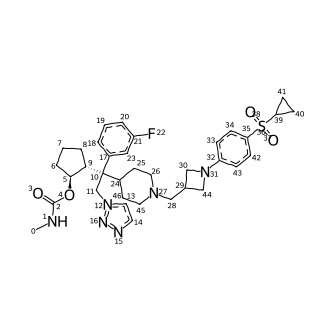 CNC(=O)O[C@H]1CCC[C@@H]1C(Cn1ccnn1)(c1cccc(F)c1)C1CCN(CC2CN(c3ccc(S(=O)(=O)C4CC4)cc3)C2)CC1